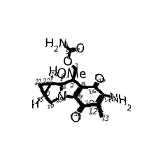 CO[C@]12C(COC(N)=O)C3=C(C(=O)C(C)=C(N)C3=O)N1C[C@H]1C[C@H]12